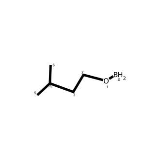 BOCCC(C)C